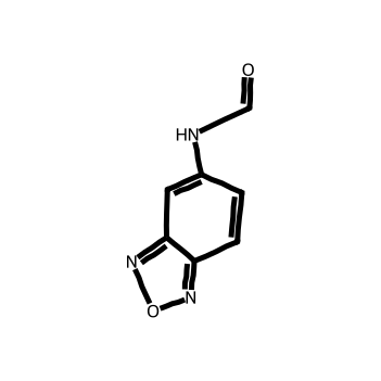 O=CNc1ccc2nonc2c1